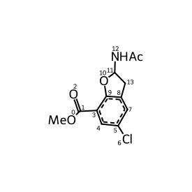 COC(=O)c1cc(Cl)cc2c1OC(NC(C)=O)C2